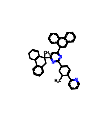 CC1CC(c2nc(-c3cc4ccccc4c4ccccc34)cc(C3(C)Cc4ccccc4C4=C3C=CCC4)n2)=CC=C1c1ccccn1